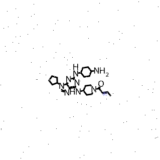 C/C=C/C(=O)N1CCC(Nc2nc(NC3CCC(N)CC3)nc3c2ncn3C2CCCC2)CC1